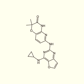 CC1(C)Oc2ccc(Nc3nc(NC4CC4)c4occc4n3)nc2NC1=O